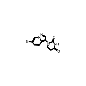 O=C1CCN(c2cnn3cc(Br)ccc23)C(=O)N1